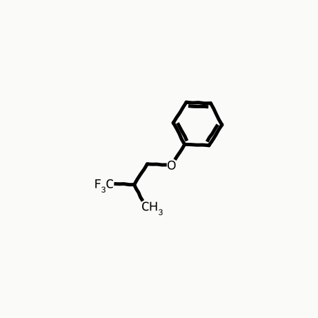 CC(COc1ccccc1)C(F)(F)F